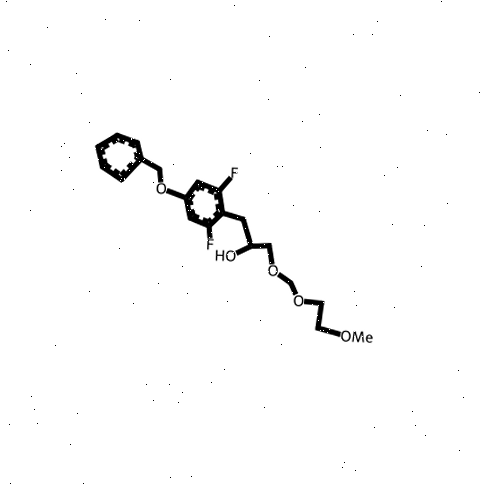 COCCOCOCC(O)Cc1c(F)cc(OCc2ccccc2)cc1F